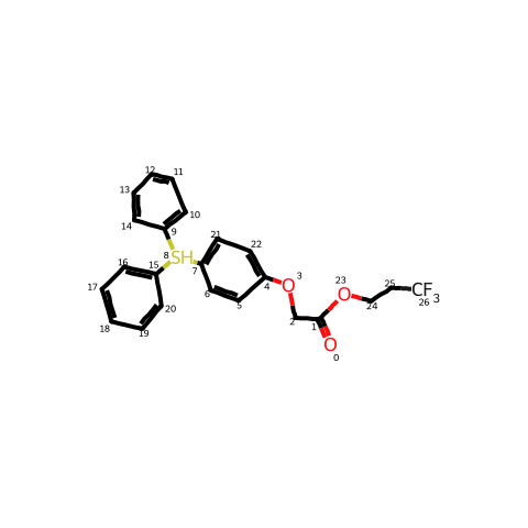 O=C(COc1ccc([SH](c2ccccc2)c2ccccc2)cc1)OCCC(F)(F)F